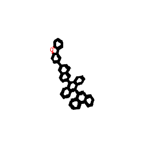 c1ccc2c(c1)cc(-c1c3ccccc3c(-c3ccc4cc(-c5ccc6oc7ccccc7c6c5)ccc4c3)c3ccccc13)c1ccccc12